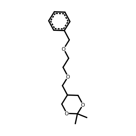 CC1(C)OCC(COCCOCc2ccccc2)CO1